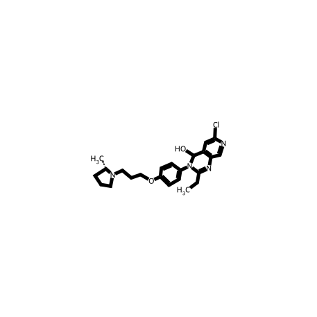 CCC1=Nc2cnc(Cl)cc2C(O)N1c1ccc(OCCCN2CCC[C@@H]2C)cc1